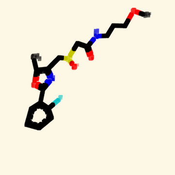 Cc1oc(-c2ccccc2F)nc1C[S+]([O-])CC(=O)NCCCOC(C)C